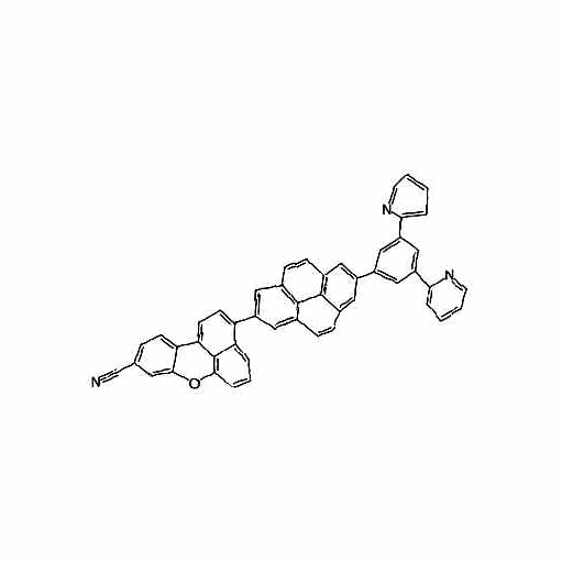 N#Cc1ccc2c(c1)Oc1cccc3c(-c4cc5ccc6cc(-c7cc(-c8ccccn8)cc(-c8ccccn8)c7)cc7ccc(c4)c5c67)ccc-2c13